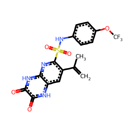 C=C(C)c1cc2[nH]c(=O)c(=O)[nH]c2nc1S(=O)(=O)Nc1ccc(OC(F)(F)F)cc1